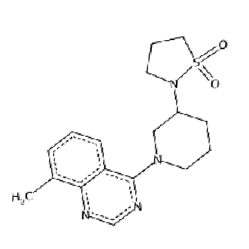 Cc1cccc2c(N3CCCC(N4CCCS4(=O)=O)C3)ncnc12